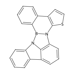 c1ccc2c(c1)B1N(c3sccc3-2)c2cccc3c4ccccc4n1c23